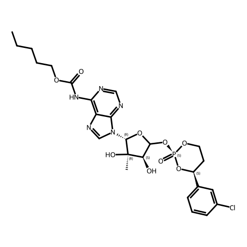 CCCCCOC(=O)Nc1ncnc2c1ncn2[C@@H]1OC(O[P@@]2(=O)OCC[C@@H](c3cccc(Cl)c3)O2)[C@@H](O)[C@@]1(C)O